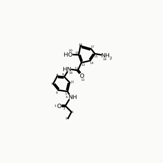 CCC(=O)Nc1cccc(NC(=O)c2cc(N)ccc2O)c1